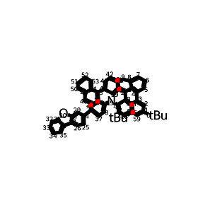 CC(C)(C)c1cc(-c2cccc3cccc(-c4ccccc4N(c4ccc(-c5ccc6c(c5)oc5ccccc56)cc4)c4ccccc4-c4cccc5ccccc45)c23)cc(C(C)(C)C)c1